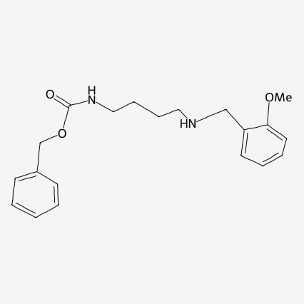 COc1ccccc1CNCCCCNC(=O)OCc1ccccc1